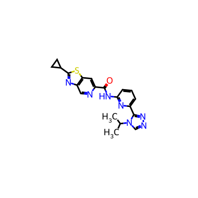 CC(C)n1cnnc1-c1cccc(NC(=O)c2cc3sc(C4CC4)nc3cn2)n1